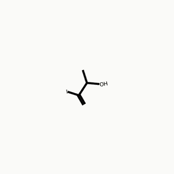 C=C(I)C(C)O